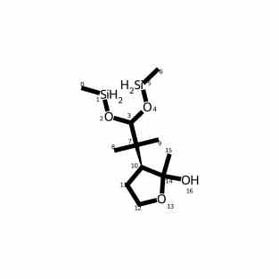 C[SiH2]OC(O[SiH2]C)C(C)(C)[C@@H]1CCOC1(C)O